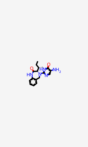 CC[C@H](C)[C@H]1C(=O)Nc2ccccc2CN1c1ncc(N)c(=O)[nH]1